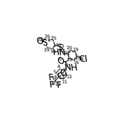 O=C(NC12CCC(C(F)(F)F)(CC1)CC2)c1cc(Cl)ccc1NSC1CC[S+]([O-])CC1